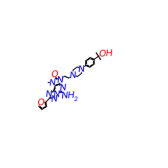 Cn1c(=O)n(CCN2CCN(c3ccc(C(C)(C)O)cc3)CC2)c2nc(N)n3nc(-c4ccco4)nc3c21